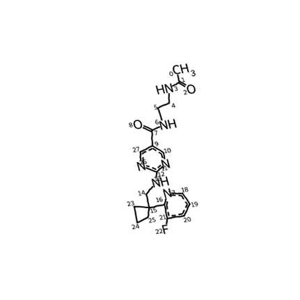 CC(=O)NCCNC(=O)c1cnc(NCC2(c3ncccc3F)CCC2)nc1